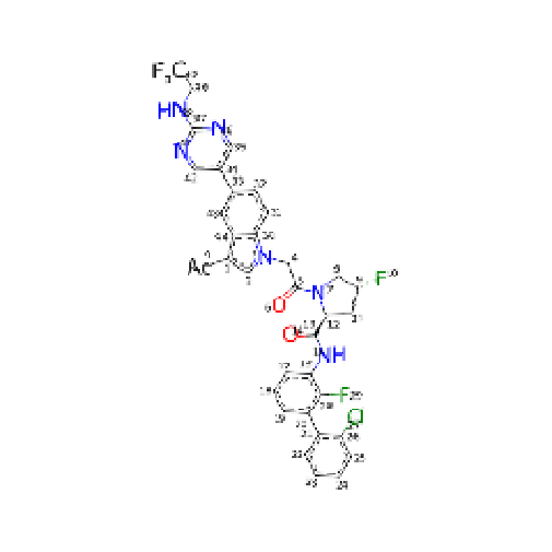 CC(=O)c1cn(CC(=O)N2C[C@H](F)C[C@H]2C(=O)Nc2cccc(-c3ccccc3Cl)c2F)c2ccc(-c3cnc(NCC(F)(F)F)nc3)cc12